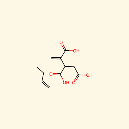 C=C(C(=O)O)C(CC(=O)O)C(=O)O.C=CCC